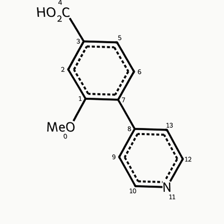 COc1cc(C(=O)O)ccc1-c1ccncc1